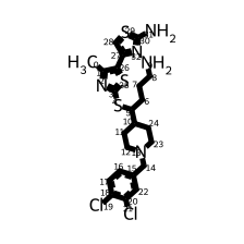 Cc1nc(SC(CCCN)C2CCN(Cc3ccc(Cl)c(Cl)c3)CC2)sc1-c1csc(N)n1